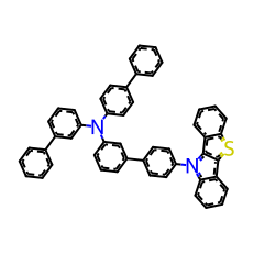 c1ccc(-c2ccc(N(c3cccc(-c4ccccc4)c3)c3cccc(-c4ccc(-n5c6ccccc6c6sc7ccccc7c65)cc4)c3)cc2)cc1